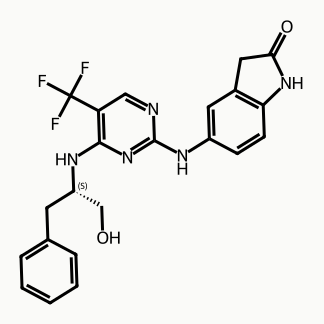 O=C1Cc2cc(Nc3ncc(C(F)(F)F)c(N[C@H](CO)Cc4ccccc4)n3)ccc2N1